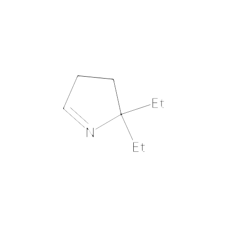 CCC1(CC)CCC=N1